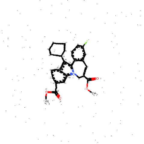 COC(=O)C1=Cc2cc(F)ccc2-c2c(C3CCCCC3)c3ccc(C(=O)OC)cc3n2C1